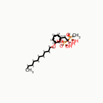 CCCCCCCCCCOc1cccc(CC(O)(P(C)(=O)O)P(=O)(O)O)c1